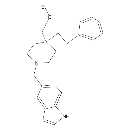 CCOCC1(CCc2ccccc2)CCN(Cc2ccc3[nH]ccc3c2)CC1